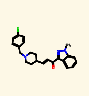 Cn1nc(C(=O)C=CC2CCN(Cc3ccc(Cl)cc3)CC2)c2ccccc21